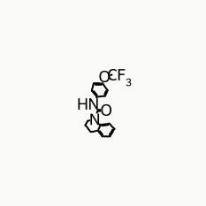 O=C(Nc1ccc(OC(F)(F)F)cc1)N1CCCc2ccccc21